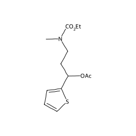 CCOC(=O)N(C)CCC(OC(C)=O)c1cccs1